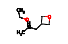 CCO[SiH](C)CC1COC1